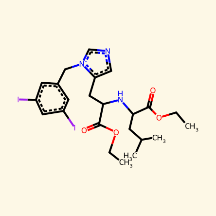 CCOC(=O)C(Cc1cncn1Cc1cc(I)cc(I)c1)NC(CC(C)C)C(=O)OCC